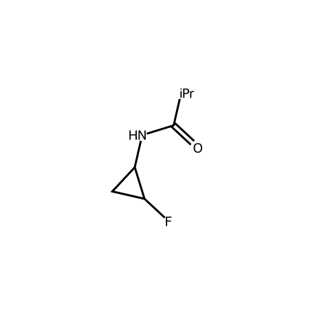 CC(C)C(=O)NC1CC1F